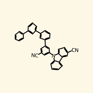 N#Cc1cc(-c2cccc(-c3cccc(-c4ccccc4)c3)c2)cc(-n2c3ccccc3c3cc(C#N)ccc32)c1